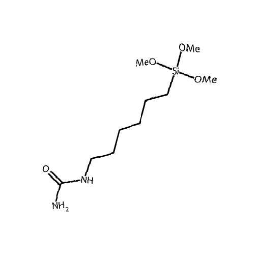 CO[Si](CCCCCCNC(N)=O)(OC)OC